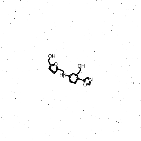 OCc1ccc(CNc2ccc(-c3cnco3)c(CO)c2)o1